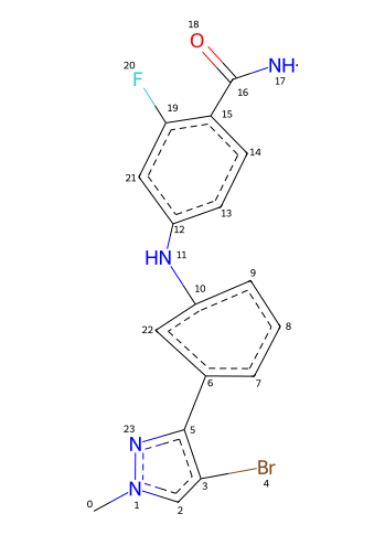 Cn1cc(Br)c(-c2cccc(Nc3ccc(C([NH])=O)c(F)c3)c2)n1